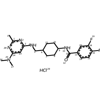 Cc1nc(NCC2CCC(NC(=O)c3ccc(F)c(F)c3)CC2)cc(N(C)C)n1.Cl